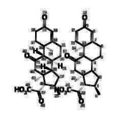 C[C@@H]1CC2C3CCC4=CC(=O)C=C[C@]4(C)C3C(=O)C[C@]2(C)[C@H]1C(=O)C(=O)O.C[C@@H]1C[C@H]2[C@@H]3CCC4=CC(=O)CC[C@]4(C)[C@H]3C(=O)C[C@]2(C)[C@H]1C(=O)C(=O)O